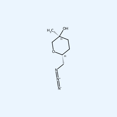 C[C@]1(O)CC[C@H](CN=[N+]=[N-])OC1